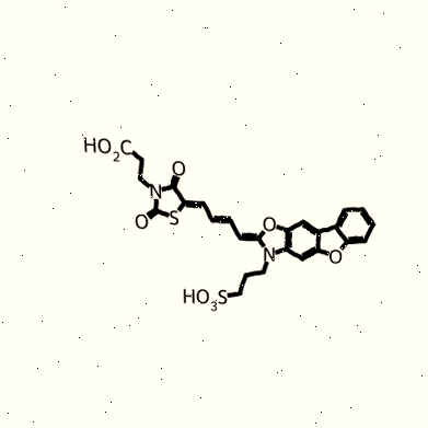 O=C(O)CCN1C(=O)SC(=CC=CC=C2Oc3cc4c(cc3N2CCCS(=O)(=O)O)oc2ccccc24)C1=O